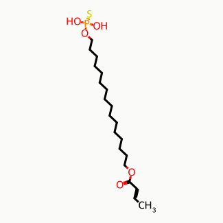 CC=CC(=O)OCCCCCCCCCCCCCCCCOP(O)(O)=S